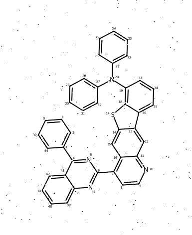 c1ccc(-c2nc(-c3ccnc4cc5c(cc34)sc3c(N(c4ccccc4)c4ccccc4)cccc35)nc3ccccc23)cc1